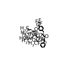 CNC(=O)C[C@@H](OC(=O)[C@@H](CC(C)C)NC)[C@H](CC(C)(C)F)C(=O)O[C@H](Cc1ccc(OC(F)(F)F)cc1)C(=O)OCc1ccccc1.Cl